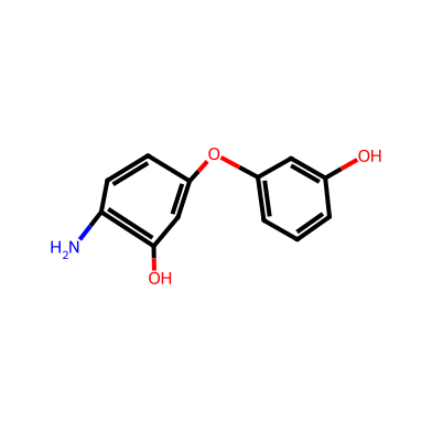 Nc1ccc(Oc2cccc(O)c2)cc1O